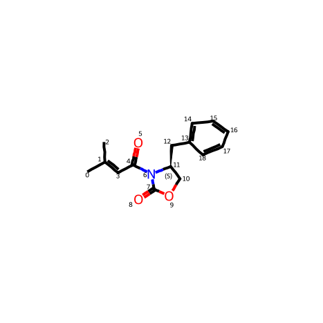 CC(C)=CC(=O)N1C(=O)OC[C@@H]1Cc1ccccc1